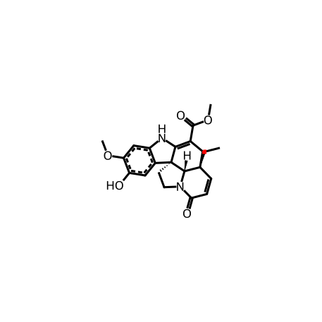 CC[C@]12C=CC(=O)N3CC[C@]4(C(=C(C(=O)OC)C1)Nc1cc(OC)c(O)cc14)[C@@H]32